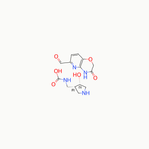 O=C(O)NC[C@H]1CNC[C@H]1O.O=Cc1ccc2c(n1)NC(=O)CO2